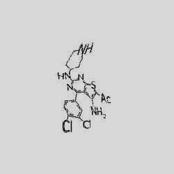 CC(=O)c1sc2nc(NC3CCNCC3)nc(-c3ccc(Cl)c(Cl)c3)c2c1N